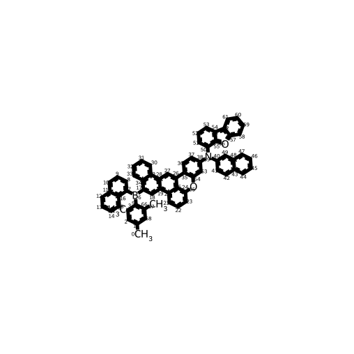 Cc1cc(C)c(B(c2cccc3ccccc23)c2cc3c4cccc5c4c(cc3c3ccccc23)-c2ccc(N(c3ccc4ccccc4c3)c3cccc4c3oc3ccccc34)cc2O5)c(C)c1